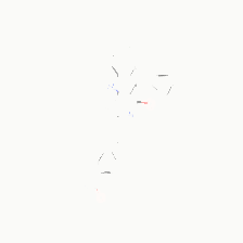 Cc1nc2c(c(-c3ccccc3)c1C(=O)N1CCC(c3ccc(C(N)=O)cc3)CC1)=CC(Cl)CC=2